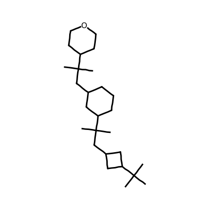 CC(C)(C)C1CC(CC(C)(C)C2CCCC(CC(C)(C)C3CCOCC3)C2)C1